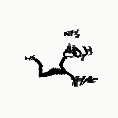 CC(=O)NC(CS)C(=O)O.[AlH3]